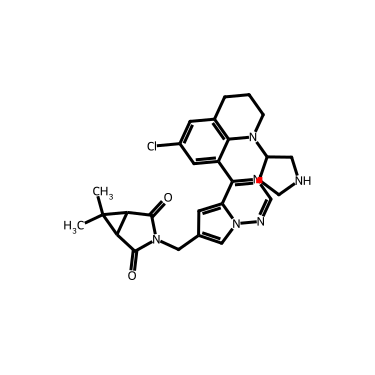 CC1(C)C2C(=O)N(Cc3cc4c(-c5cc(Cl)cc6c5N(C5CCNC5)CCC6)ncnn4c3)C(=O)C21